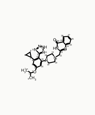 CC(C)Oc1cc(C2CC2)c(-c2nn[nH]n2)c(N2CCN(Cc3nc4ccccc4c(=O)[nH]3)CC2)c1